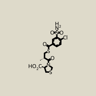 C[C@H](CSC(=O)c1ccc(Cl)c(S(N)(=O)=O)c1)C(=O)N1CSC[C@H]1C(=O)O